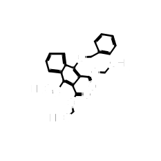 CCOC(=O)c1c(C(=O)OCC)c(OCc2ccccc2)c2ccccc2c1OC